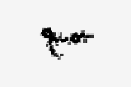 O=C(O)CCNCc1c(C(=O)NCCOc2ccc(C(=S)NO)cc2)oc2ccccc12